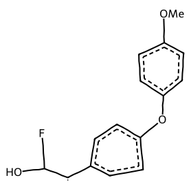 COc1ccc(Oc2ccc([CH]C(O)F)cc2)cc1